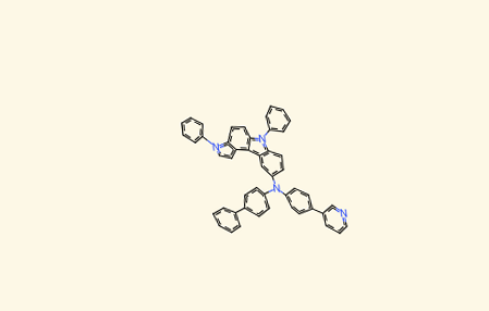 c1ccc(-c2ccc(N(c3ccc(-c4cccnc4)cc3)c3ccc4c(c3)c3c5ccn(-c6ccccc6)c5ccc3n4-c3ccccc3)cc2)cc1